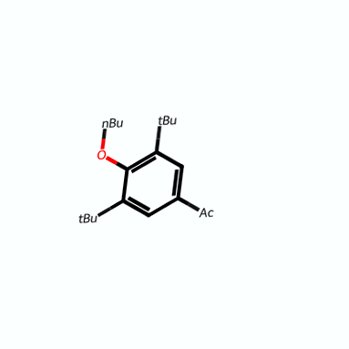 CCCCOc1c(C(C)(C)C)cc(C(C)=O)cc1C(C)(C)C